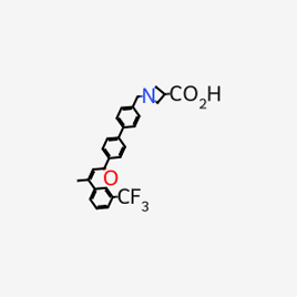 C/C(=C/C(=O)c1ccc(-c2ccc(CN3CC(C(=O)O)C3)cc2)cc1)c1cccc(C(F)(F)F)c1